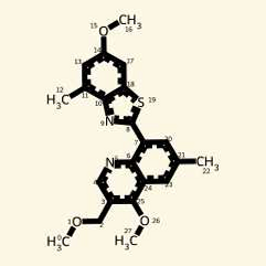 COCc1cnc2c(-c3nc4c(C)cc(OC)cc4s3)cc(C)cc2c1OC